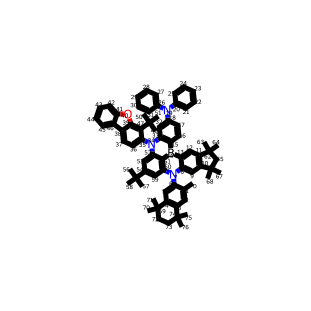 Cc1cc2c(cc1N1c3cc4c(cc3B3c5ccc(N(c6ccccc6)c6ccccc6)cc5N(c5ccc6c(oc7ccccc76)c5C(C)(C)C)c5cc(C(C)(C)C)cc1c53)C(C)(C)CC4(C)C)C(C)(C)CCC2(C)C